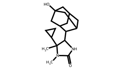 CN1C(=O)NC(C2C3CC4CC2CC(O)(C4)C3)C1(C)C1CC1